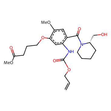 C=CCOC(=O)Nc1cc(OCCCC(=O)OC)c(OC)cc1C(=O)N1CCCC[C@H]1CO